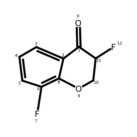 O=C1c2cccc(F)c2OCC1F